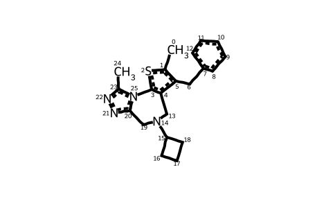 Cc1sc2c(c1Cc1ccccc1)CN(C1CCC1)Cc1nnc(C)n1-2